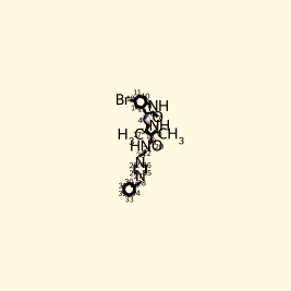 Cc1[nH]c(/C=C2\C(=O)Nc3ccc(Br)cc32)c(C)c1C(=O)NCCN1CCN(Cc2ccccc2)CC1